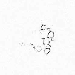 COCC(=O)N1CCC(c2nccc3cc(-c4nn5cc(C(=O)N6C[C@H](N)C[C@@H](F)C6)ccc5c4C)n(CC4CC4)c23)CC1